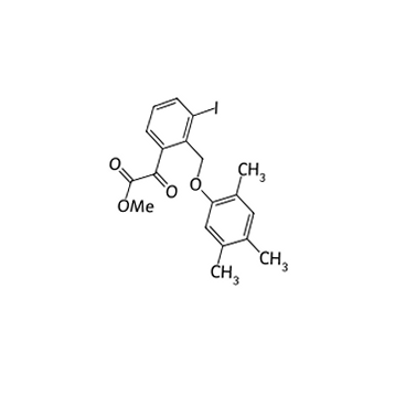 COC(=O)C(=O)c1cccc(I)c1COc1cc(C)c(C)cc1C